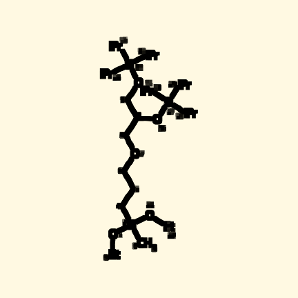 CCO[Si](C)(CCCOCC(CO[Si](C(C)C)(C(C)C)C(C)C)O[Si](C(C)C)(C(C)C)C(C)C)OCC